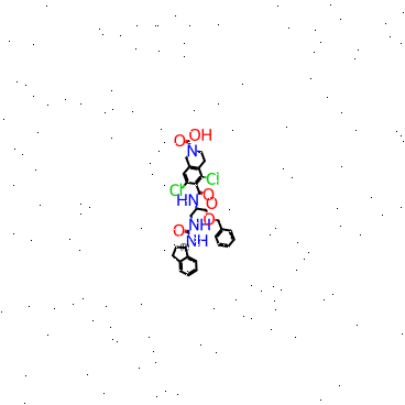 O=C(NCC(NC(=O)c1c(Cl)cc2c(c1Cl)CCN(C(=O)O)C2)C(=O)OCc1ccccc1)N[C@@H]1CCc2ccccc21